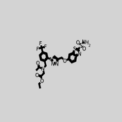 CCOC(=O)CN(Cc1ccc(C(F)(F)F)cc1-n1cc(COc2ccc3nc(S(N)(=O)=O)sc3c2)nn1)C(C)=O